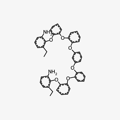 CCc1cccc(N)c1Oc1ccccc1Oc1ccccc1Oc1cccc(Oc2ccccc2Oc2ccccc2Oc2c(N)cccc2CC)c1